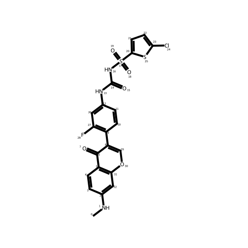 CNc1ccc2c(=O)c(-c3ccc(NC(=O)NS(=O)(=O)c4ccc(Cl)s4)cc3F)coc2c1